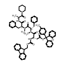 Cc1ccc(C(OC(=O)C[C@H](NC(=O)OCC2c3ccccc3-c3ccccc32)C(=O)N(C)[C@@H](Cc2ccccc2)C(=O)N(C)[C@@H](Cc2ccccc2)C(=O)N[C@@H](C)C(=O)N2CCCCC2)(c2ccccc2)c2ccccc2Cl)cc1